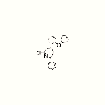 ClC1=NC(c2ccccc2)=C=CC(c2cccc3c2oc2ccccc23)=C1